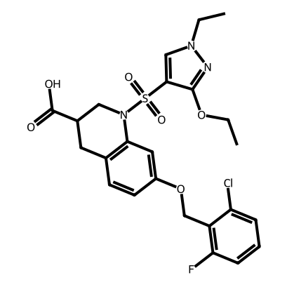 CCOc1nn(CC)cc1S(=O)(=O)N1CC(C(=O)O)Cc2ccc(OCc3c(F)cccc3Cl)cc21